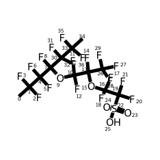 CC(F)(F)C(F)(F)C(F)(OC(F)(F)C(F)(OC(F)(F)C(F)(F)S(=O)(=O)O)C(F)(F)F)C(F)(F)C(C)(F)F